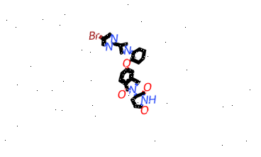 O=C1CCC(N2Cc3cc(O[C@H]4CCCCC4N4CC(c5ncc(Br)cn5)C4)ccc3C2=O)C(=O)N1